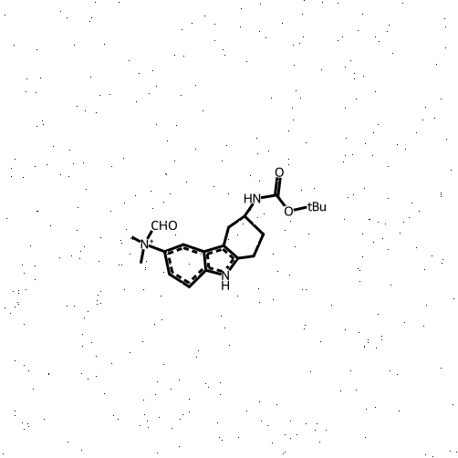 CC(C)(C)OC(=O)NC1CCc2[nH]c3ccc([N+](C)(C)C=O)cc3c2C1